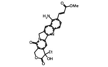 CCC1(O)C(=O)OCc2c1cc1n(c2=O)Cc2cc3c(N)c(C=CC(=O)OC)ccc3nc2-1